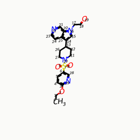 CCOc1ccc(S(=O)(=O)N2CCC(c3cn(CC=O)c4cnccc34)CC2)cn1